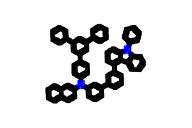 c1ccc(-c2cc(-c3ccccc3)cc(-c3ccc(N(c4cccc(-c5cccc(-c6cccc7c6c6ccccc6n7-c6ccccc6)c5)c4)c4ccc5ccccc5c4)cc3)c2)cc1